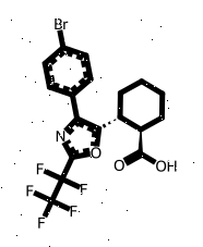 O=C(O)[C@@H]1CCCC[C@H]1c1oc(C(F)(F)C(F)(F)F)nc1-c1ccc(Br)cc1